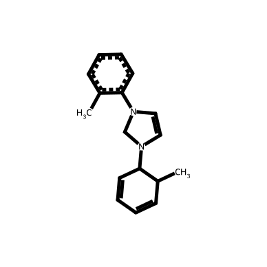 Cc1ccccc1N1C=CN(C2C=CC=CC2C)C1